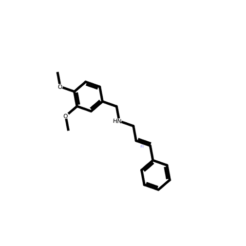 COc1ccc(CNC/C=C/c2ccccc2)cc1OC